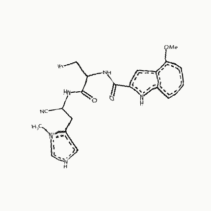 COc1cccc2[nH]c(C(=O)NC(CC(C)C)C(=O)NC(C#N)Cc3c[nH]c[n+]3C)cc12